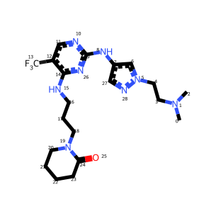 CN(C)CCn1cc(Nc2ncc(C(F)(F)F)c(NCCCN3CCCCC3=O)n2)cn1